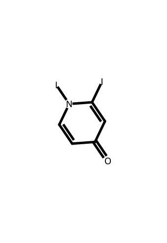 O=c1ccn(I)c(I)c1